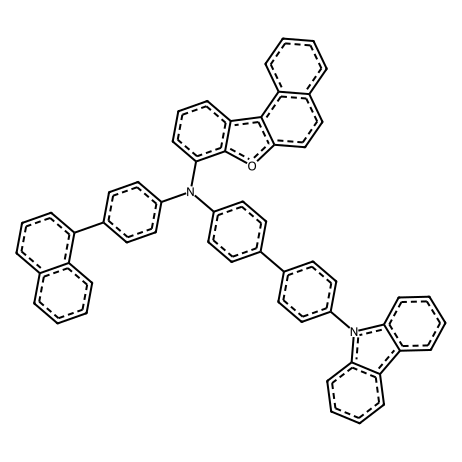 c1ccc2c(-c3ccc(N(c4ccc(-c5ccc(-n6c7ccccc7c7ccccc76)cc5)cc4)c4cccc5c4oc4ccc6ccccc6c45)cc3)cccc2c1